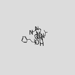 CC(C)CN(NC(=O)OC(C)(C)CCc1ccccc1)c1ccnc(C#N)n1